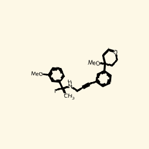 COc1cccc(C(C)(I)NCC#Cc2cccc(C3(OC)CCOCC3)c2)c1